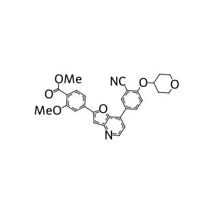 COC(=O)c1ccc(-c2cc3nccc(-c4ccc(OC5CCOCC5)c(C#N)c4)c3o2)cc1OC